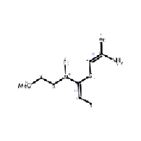 C/C=C(\S/C=C(\N)C(C)=O)N(CC)CCOC